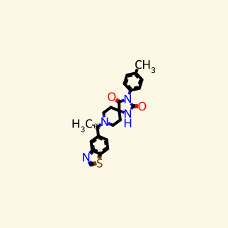 Cc1ccc(N2C(=O)NC3(CCN([C@@H](C)c4ccc5scnc5c4)CC3)C2=O)cc1